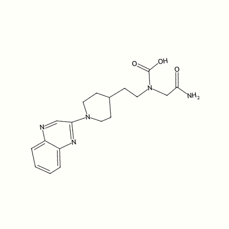 NC(=O)CN(CCC1CCN(c2cnc3ccccc3n2)CC1)C(=O)O